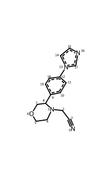 N#CCN1CCOCC1c1ccc(-n2ccnc2)cc1